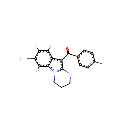 N#Cc1c(F)c(F)c2c(C(=O)c3ccc(Cl)cc3)c3n(c2c1F)CCCN3